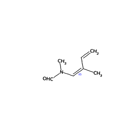 C=C/C(C)=C\N(C)C=O